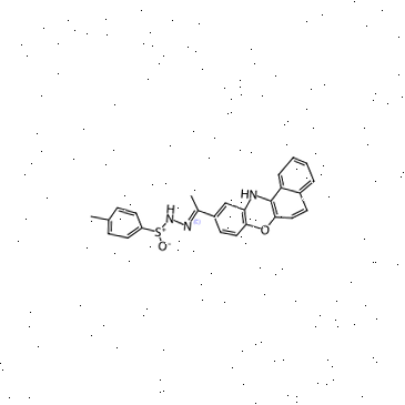 C/C(=N\N[S+]([O-])c1ccc(C)cc1)c1ccc2c(c1)Nc1c(ccc3ccccc13)O2